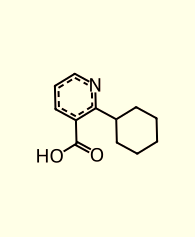 O=C(O)c1cccnc1C1CCCCC1